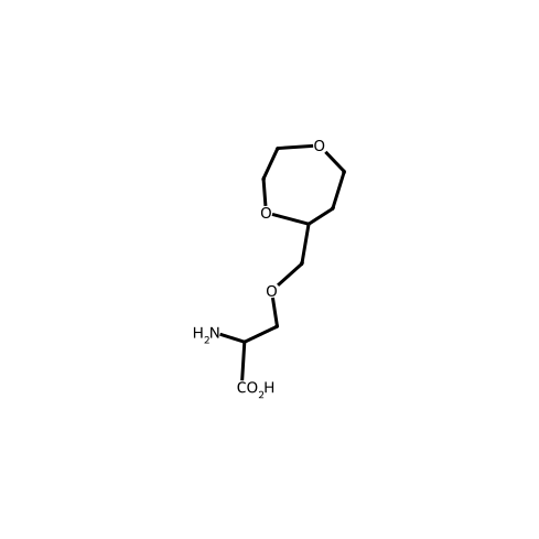 NC(COCC1CCOCCO1)C(=O)O